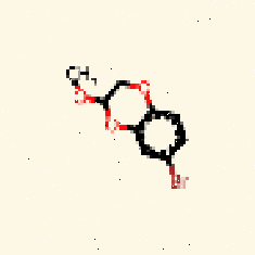 COC1COc2ccc(Br)cc2O1